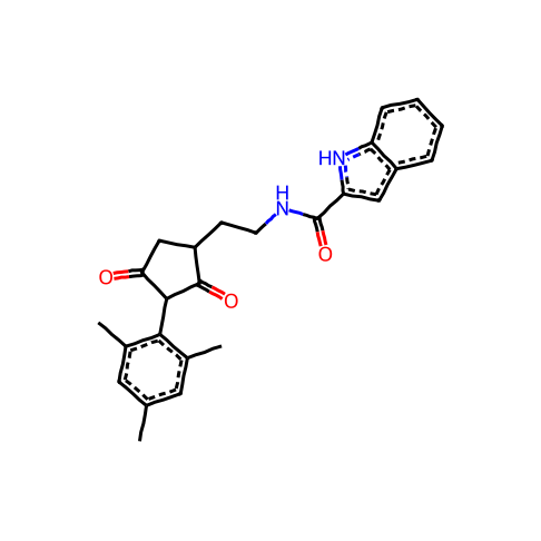 Cc1cc(C)c(C2C(=O)CC(CCNC(=O)c3cc4ccccc4[nH]3)C2=O)c(C)c1